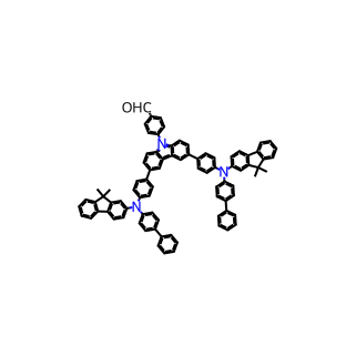 CC1(C)c2ccccc2-c2ccc(N(c3ccc(-c4ccccc4)cc3)c3ccc(-c4ccc5c(c4)c4cc(-c6ccc(N(c7ccc(-c8ccccc8)cc7)c7ccc8c(c7)C(C)(C)c7ccccc7-8)cc6)ccc4n5-c4ccc(C=O)cc4)cc3)cc21